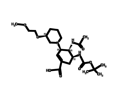 COCCO[C@H]1CCCN([C@@H]2C=C(C(=O)O)C[C@H](NC(=O)OC(C)(C)C)[C@H]2NC(C)=O)C1